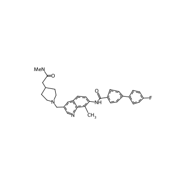 CNC(=O)CC1CCN(Cc2cnc3c(C)c(NC(=O)c4ccc(-c5ccc(F)cc5)cc4)ccc3c2)CC1